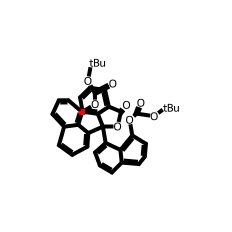 CC(C)(C)OC(=O)Oc1cccc2cccc(C3(c4cccc5cccc(OC(=O)OC(C)(C)C)c45)OC(=O)c4ccccc43)c12